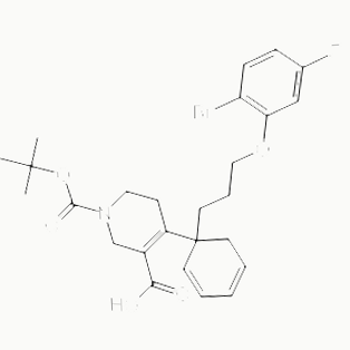 CC(C)(C)OC(=O)N1CCC(C2(CCCOc3cc(F)ccc3Br)C=CC=CC2)=C(C(=O)O)C1